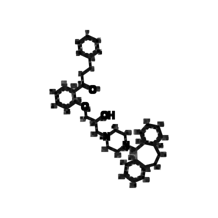 O=C(CCc1ccccc1)c1ccccc1OCC(O)CN1CCN(C2c3ccccc3CCc3ccccc32)CC1